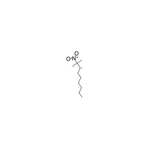 CCCCCC[CH]C(C)(C)[N+](=O)[O-]